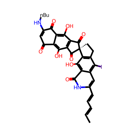 C/C=C/C=C/c1cc2c(I)c3c(c(O)c2c(=O)[nH]1)[C@@]1(CC3)C(=O)c2c(O)c3c(c(O)c2C1=O)C(=O)C(NCCCC)=CC3=O